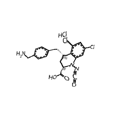 Cl.NCc1ccc(C[C@H]2C[C@H](C(=O)O)N(N=C=O)c3cc(Cl)cc(Cl)c32)cc1